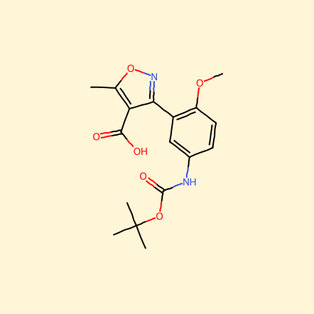 COc1ccc(NC(=O)OC(C)(C)C)cc1-c1noc(C)c1C(=O)O